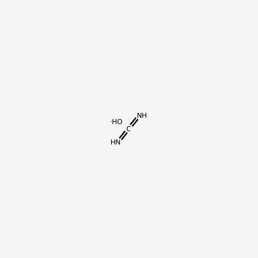 N=C=N.[OH]